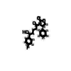 O=C(CCCC(O)c1ccc(F)cc1)N1C(=O)OC[C@@H]1c1ccccc1